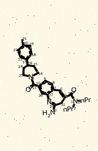 CCCN(CCC)C(=O)C1=Cc2ccc(C(=O)N3CCC(c4ccc(C)cc4)CC3)cc2N=C(N)C1